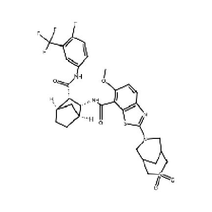 COc1ccc2nc(N3CC4CC(C3)CS(=O)(=O)C4)sc2c1C(=O)N[C@@H]1[C@H]2CC[C@H](C2)[C@@H]1C(=O)Nc1ccc(F)c(C(F)(F)F)c1